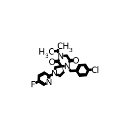 CC(C)N1CC(=O)N(Cc2ccc(Cl)cc2)[C@]2(CCN(c3ccc(F)cn3)C2)C1=O